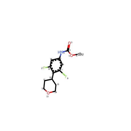 CC(C)(C)OC(=O)Nc1cc(F)c(C2CCOCC2)c(F)c1